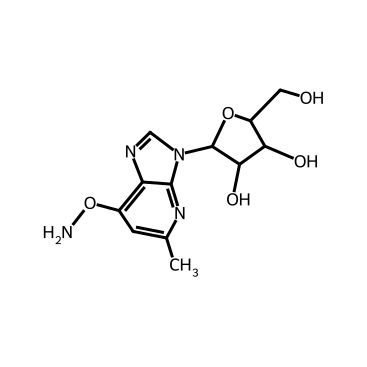 Cc1cc(ON)c2ncn(C3OC(CO)C(O)C3O)c2n1